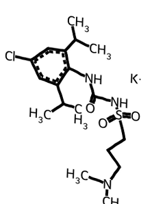 CC(C)c1cc(Cl)cc(C(C)C)c1NC(=O)NS(=O)(=O)CCCN(C)C.[K]